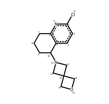 Clc1ccc2c(n1)CCCC2N1CC2(COC2)C1